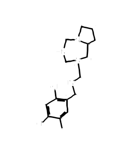 Clc1cc(Cl)c(CNCN2CNCN3CCCC3C2)cc1Cl